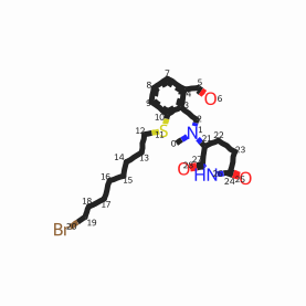 CN(Cc1c(C=O)cccc1SCCCCCCCCBr)C1CCC(=O)NC1=O